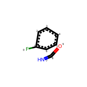 Fc1ccccc1.N=C=O